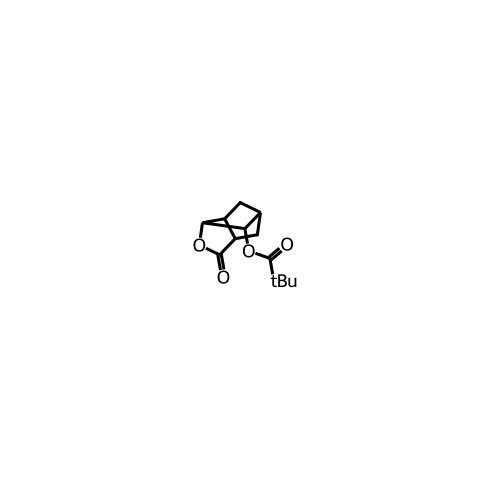 CC(C)(C)C(=O)OC1C2CC3C(=O)OC1C3C2